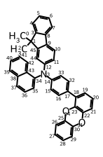 CC1(C)c2ccccc2-c2ccc(N(c3ccc(-c4cccc5c4Oc4ccccc4O5)cc3)c3cccc4ccccc34)cc21